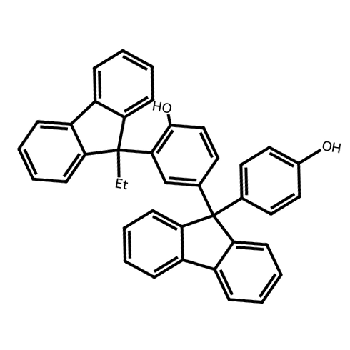 CCC1(c2cc(C3(c4ccc(O)cc4)c4ccccc4-c4ccccc43)ccc2O)c2ccccc2-c2ccccc21